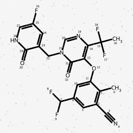 Cc1c(C#N)cc(C(F)F)cc1Oc1c(C(C)(F)F)ncn(Cc2cc(F)c[nH]c2=O)c1=O